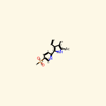 C=Cc1c(-c2ccc(S(C)(=O)=O)cn2)[nH]c(C(C)=O)c1C